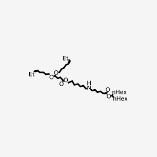 CC/C=C\CCCCOC(CCC(=O)OCCCCCCCNCCCCCC(=O)OC(CCCCCC)CCCCCC)OCCCC/C=C\CC